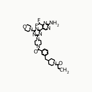 C=CC(=O)N1CCC(Cc2cccc(C(=O)N3CCN(c4nc(-c5cnc(N)nc5C(F)F)nc(N5CCOCC5)n4)CC3)c2)CC1